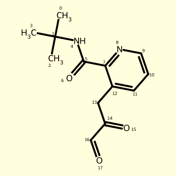 CC(C)(C)NC(=O)c1ncccc1CC(=O)C=O